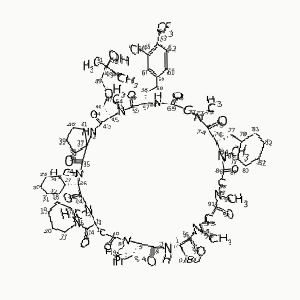 CC[C@H](C)[C@@H]1NC(=O)[C@H](CC(C)C)N(C)C(=O)C[C@@H](C(=O)N2CCCCC2)N(C)C(=O)[C@H](C2CCCCC2)N(C)C(=O)C2(CCCC2)NC(=O)[C@H](COCC(C)(C)O)N(C)C(=O)[C@H](CCc2ccc(C(F)(F)F)c(Cl)c2)NC(=O)CN(C)C(=O)[C@H](CC2CCCCC2)N(C)C(=O)CN(C)C(=O)CN(C)C1=O